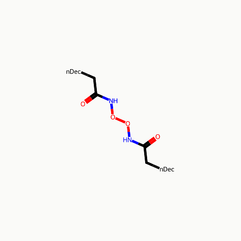 CCCCCCCCCCCC(=O)NOONC(=O)CCCCCCCCCCC